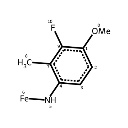 COc1ccc([NH][Fe])c(C)c1F